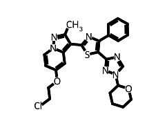 Cc1nn2ccc(OCCCl)cc2c1-c1nc(-c2ccccc2)c(-c2ncn(C3CCCCO3)n2)s1